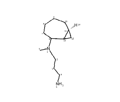 CN(CCCN)C1CCCC[C@H]2CC12